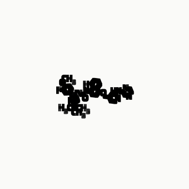 COc1ccc(-n2nc(C(C)(C)C)cc2NC(=O)Nc2ccc(OCc3ccnc(Nc4cnccn4)c3)c3ccccc23)cc1F